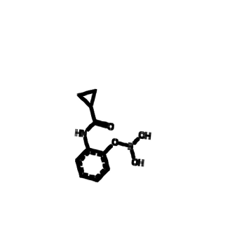 O=C(Nc1ccccc1OB(O)O)C1CC1